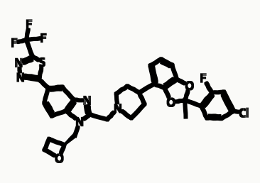 CC1(c2ccc(Cl)cc2F)Oc2cccc(C3CCN(Cc4nc5cc(-c6nnc(C(F)(F)F)s6)ccc5n4C[C@@H]4CCO4)CC3)c2O1